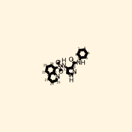 O=C(Nc1ccccc1)c1n[nH]cc1NS(=O)(=O)c1cccc2cccnc12